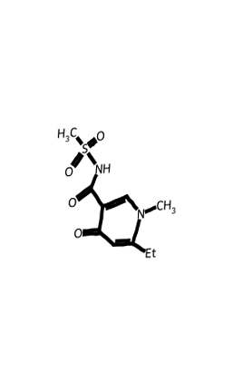 CCc1cc(=O)c(C(=O)NS(C)(=O)=O)cn1C